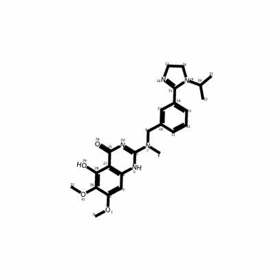 COc1cc2[nH]c(N(C)Cc3cccc(C4=NCCN4C(C)C)c3)nc(=O)c2c(O)c1OC